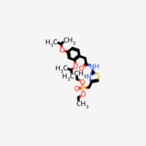 CCOP(=O)(Cc1csc(NC(=O)Cc2ccc(OC(C)C)cc2OC(C)C)n1)OCC